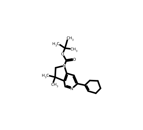 CC(C)(C)OC(=O)N1CC(C)(C)c2cnc(C3=CCCCC3)cc21